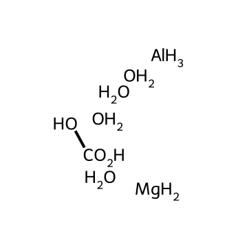 O.O.O.O.O=C(O)O.[AlH3].[MgH2]